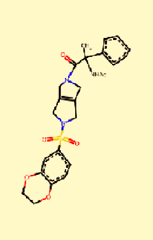 CC(=O)NC(C)(C(=O)N1CC2=C(C1)CN(S(=O)(=O)c1ccc3c(c1)OCCO3)C2)c1ccccc1